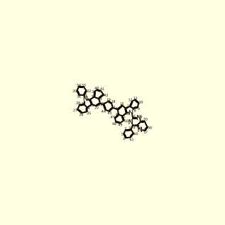 c1ccc(-c2nc(-n3c4ccccc4c4cc(-c5ccc(-c6cc7c8ccccc8n(-c8ccccc8)c7c7ccccc67)cc5)c5ccccc5c43)nc3cccnc23)cc1